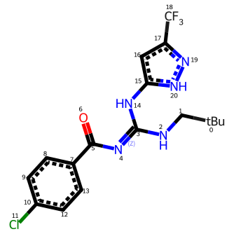 CC(C)(C)CN/C(=N/C(=O)c1ccc(Cl)cc1)Nc1cc(C(F)(F)F)n[nH]1